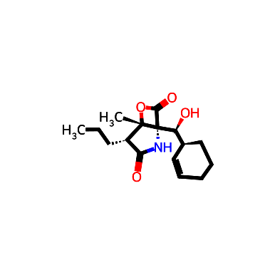 CCC[C@H]1C(=O)N[C@@]2([C@@H](O)[C@@H]3C=CCCC3)C(=O)O[C@@]12C